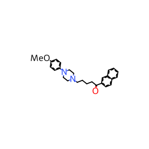 COc1ccc(N2CCN(CCCCC(=O)c3ccc4ccccc4c3)CC2)cc1